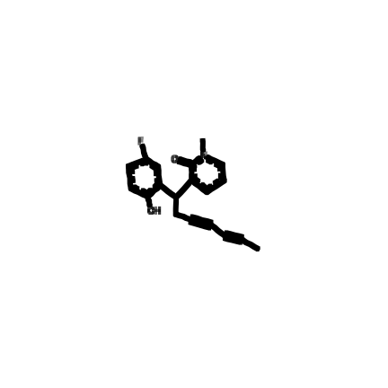 CC#CC#CCC(c1cc(F)ccc1O)c1cccn(C)c1=O